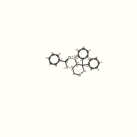 O=C(O[C@H]1CSSC(c2ccccc2)(c2ccccc2)[C@@H]1OI)c1ccccc1